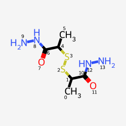 CC(SSC(C)C(=O)NN)C(=O)NN